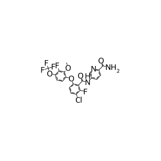 COc1c(Oc2ccc(Cl)c(F)c2C(=O)Nc2ccc(C(N)=O)nc2)ccc(OC(F)(F)F)c1F